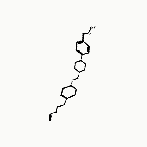 C=CCCC[C@H]1CC[C@H](CC[C@H]2CC[C@H](c3ccc(COCCC)cc3)CC2)CC1